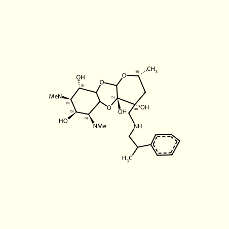 CN[C@@H]1[C@H](O)[C@H](NC)C2O[C@]3(O)C(OC2[C@H]1O)O[C@H](C)C[C@@]3(O)CNCC(C)c1ccccc1